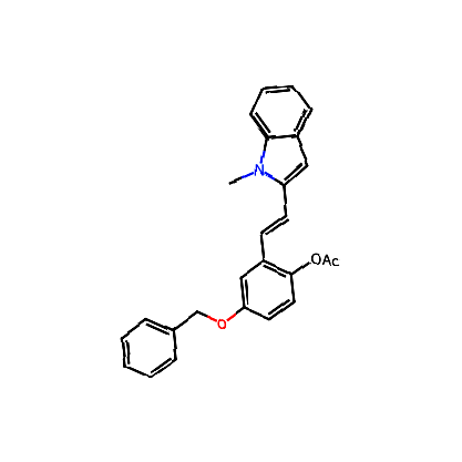 CC(=O)Oc1ccc(OCc2ccccc2)cc1C=Cc1cc2ccccc2n1C